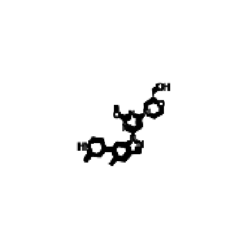 COc1nc(N2CCO[C@@H](CO)C2)cc(-n2ncc3cc(C)c(C4CCNC(C)C4)cc32)n1